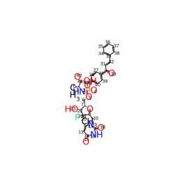 C[C@H](NP(=O)(OC[C@H]1O[C@@H](Cn2ccc(=O)[nH]c2=O)[C@](C)(F)[C@@H]1O)Oc1ccc(C(=O)/C=C/c2ccccc2)cc1)C(=O)O